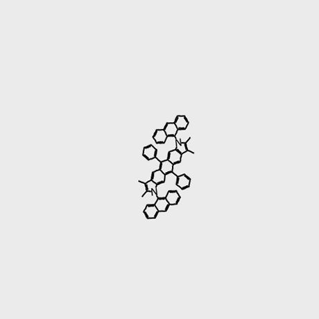 Cc1c(C)n(-c2c3ccccc3cc3ccccc23)c2cc3c(-c4ccccc4)c4cc5c(C)c(C)n(-c6c7ccccc7cc7ccccc67)c5cc4c(-c4ccccc4)c3cc12